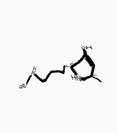 C[C@@H]1C=C(O)[C@@H](CCCCNC(C)(C)C)N1